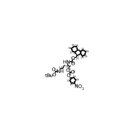 CC(C)(C)OC(=O)NCCC[C@@H](COC(=O)Oc1ccc([N+](=O)[O-])cc1)NC(=O)OCC1c2ccccc2-c2ccccc21